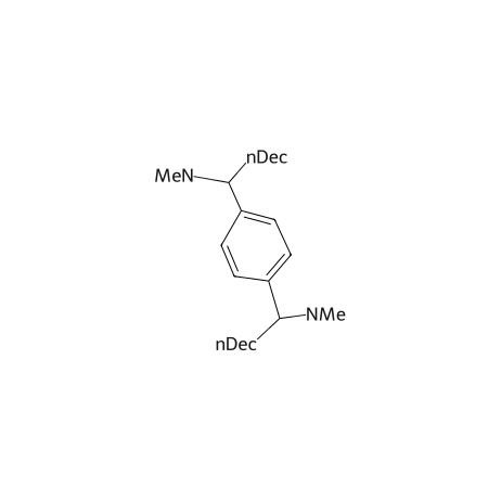 CCCCCCCCCCC(NC)c1ccc(C(CCCCCCCCCC)NC)cc1